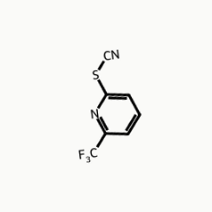 N#CSc1cccc(C(F)(F)F)n1